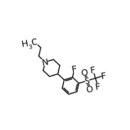 CCCN1CCC(c2cccc(S(=O)(=O)C(F)(F)F)c2F)CC1